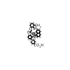 CC(C)C1C(OCC(=O)Nc2cccc(N3CCC(C(=O)O)CC3)c2NC(=O)c2cccc3ccccc23)CCC[C@H]1C